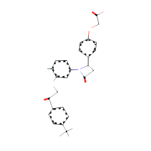 CC(C)(C)c1ccc(C(=O)CSc2cc(N3C(=O)CC3c3ccc(OCC(=O)O)cc3)ccc2F)cc1